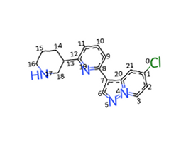 Clc1ccn2ncc(-c3cccc(C4CCCNC4)n3)c2c1